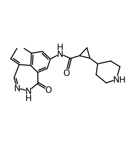 C/C=C1/C=NNC(=O)c2cc(NC(=O)C3CC3C3CCNCC3)cc(C)c21